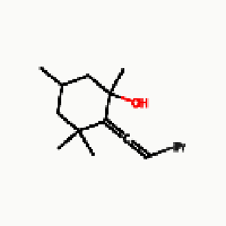 CC(C)C=C=C1C(C)(C)CC(C)CC1(C)O